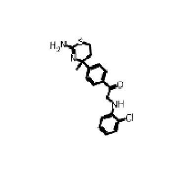 CC1(c2ccc(C(=O)CNc3ccccc3Cl)cc2)CCSC(N)=N1